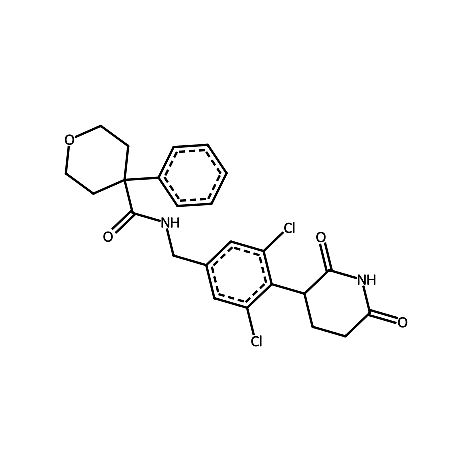 O=C1CCC(c2c(Cl)cc(CNC(=O)C3(c4ccccc4)CCOCC3)cc2Cl)C(=O)N1